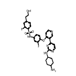 NC1CCC(Nc2nccc(-c3cnccc3Oc3ccc(NS(=O)(=O)c4ccc(CCO)cc4F)cc3F)n2)CC1